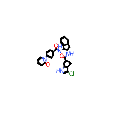 O=C(N[C@H]1Cc2ccccc2[C@H]1NC(=O)c1ccc(-n2ccccc2=O)cc1)c1ccc2c(Cl)c[nH]c2c1